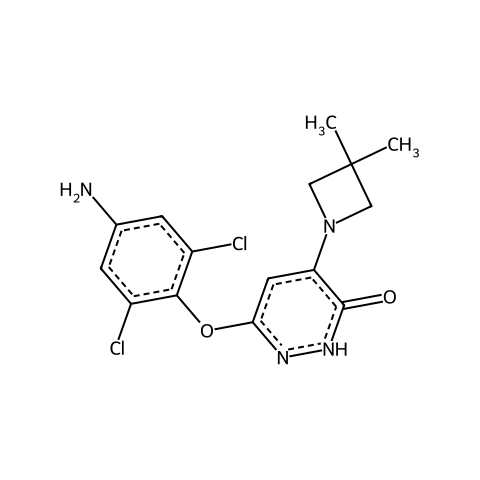 CC1(C)CN(c2cc(Oc3c(Cl)cc(N)cc3Cl)n[nH]c2=O)C1